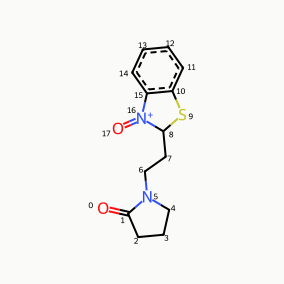 O=C1CCCN1CCC1Sc2ccccc2[N+]1=O